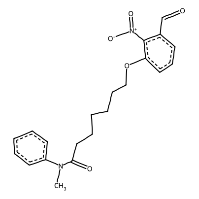 CN(C(=O)CCCCCCOc1cccc(C=O)c1[N+](=O)[O-])c1ccccc1